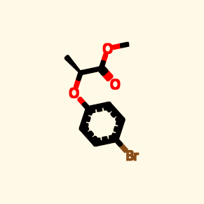 COC(=O)[C@H](C)Oc1ccc(Br)cc1